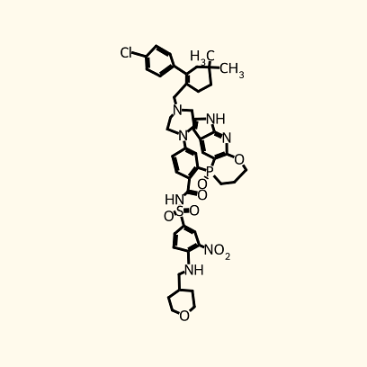 CC1(C)CCC(CN2CCN(c3ccc(C(=O)NS(=O)(=O)c4ccc(NCC5CCOCC5)c([N+](=O)[O-])c4)c(P4(=O)CCCOc5nc6[nH]ccc6cc54)c3)CC2)=C(c2ccc(Cl)cc2)C1